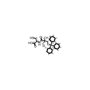 CC(C)(COC(c1ccccc1)(c1ccccc1)c1ccccc1)C(=O)NC(CS)C(=O)O